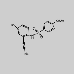 CCCCC#Cc1cc(Br)ccc1NS(=O)(=O)c1ccc(OC)cc1